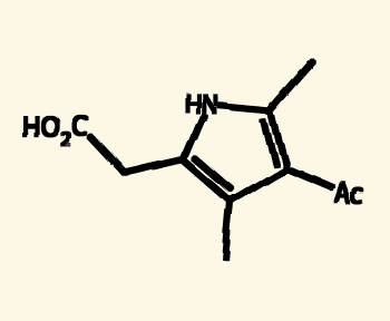 CC(=O)c1c(C)[nH]c(CC(=O)O)c1C